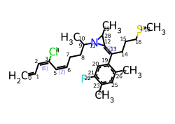 C=C/C=C(Cl)\C=C/CCC(C)N1/C(=C(/CCCSC)c2cc(F)c(C)cc2C)C1C